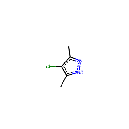 [CH2]c1[nH]nc(C)c1Cl